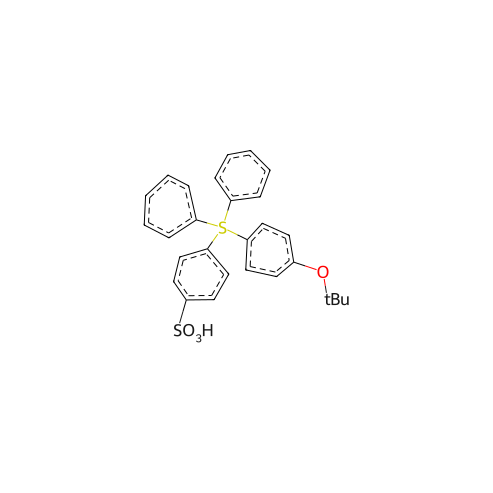 CC(C)(C)Oc1ccc(S(c2ccccc2)(c2ccccc2)c2ccc(S(=O)(=O)O)cc2)cc1